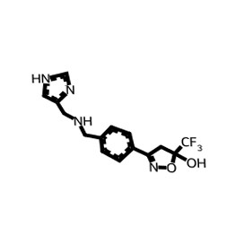 OC1(C(F)(F)F)CC(c2ccc(CNCc3c[nH]cn3)cc2)=NO1